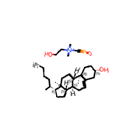 CC(C)CCCC(C)[C@H]1CC[C@H]2[C@@H]3CC=C4C[C@@H](O)CC[C@]4(C)[C@H]3CC[C@]12C.C[N+](C)(C#P=O)CCO